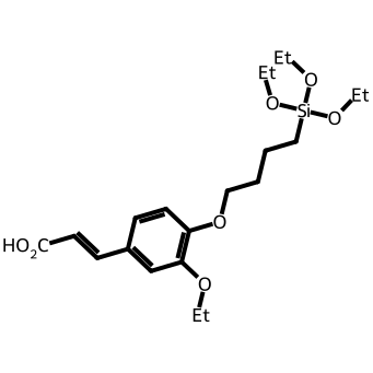 CCOc1cc(/C=C/C(=O)O)ccc1OCCCC[Si](OCC)(OCC)OCC